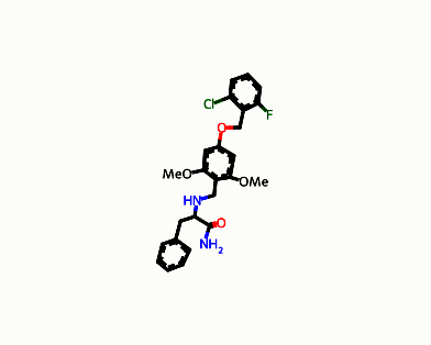 COc1cc(OCc2c(F)cccc2Cl)cc(OC)c1CNC(Cc1ccccc1)C(N)=O